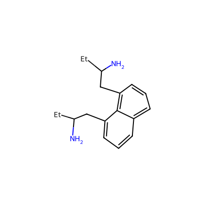 CCC(N)Cc1cccc2cccc(CC(N)CC)c12